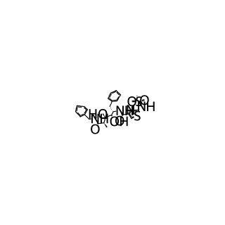 C[C@@H](C(=O)NCc1ccccc1)[C@@H](O)[C@H](O)[C@H](Cc1ccccc1)NC(=O)c1csc(NS(C)(=O)=O)n1